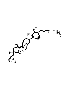 C=CCCc1ccc(C2CCC(C3OCC(F)(CCC)CO3)OC2)c(F)c1F